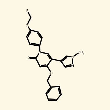 Cn1cc(-c2cn(-c3ccc(OCF)cc3)c(=O)cc2OCc2ccccc2)cn1